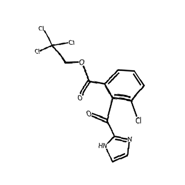 O=C(OCC(Cl)(Cl)Cl)c1cccc(Cl)c1C(=O)c1ncc[nH]1